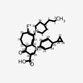 CCCC1CCN(C2=C(\F)CCCC3C(=O)C(C(=O)O)=CN(C4=CCC(C5CC5)C=C4)\C3=C\2)CC1